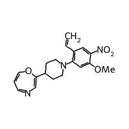 C=Cc1cc([N+](=O)[O-])c(OC)cc1N1CCC(C2=CN=CC=CO2)CC1